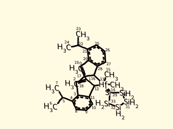 CC1=Cc2c(C(C)C)cccc2[CH]1[Hf]([CH3])([CH3])([CH]1C(C)=Cc2c(C(C)C)cccc21)=[Si]1[SiH2][SiH2][SiH2][SiH2]1